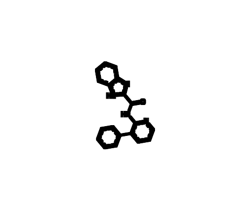 O=C(Nc1ncccc1-c1ccccc1)c1nc2ccccc2[nH]1